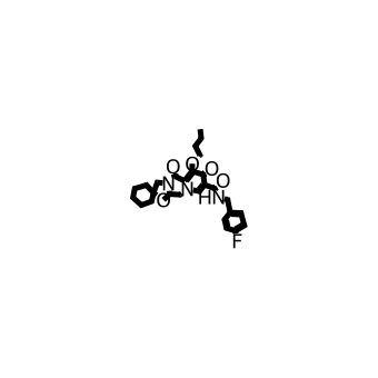 CCCCOc1c2n(cc(C(=O)NCc3ccc(F)cc3)c1=O)CC1OC3(CCCCC3)CN1C2=O